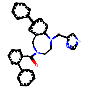 O=C(c1ccccc1-c1ccccc1)N1CCN(Cc2c[nH]cn2)c2ccc(-c3ccccc3)cc2C1